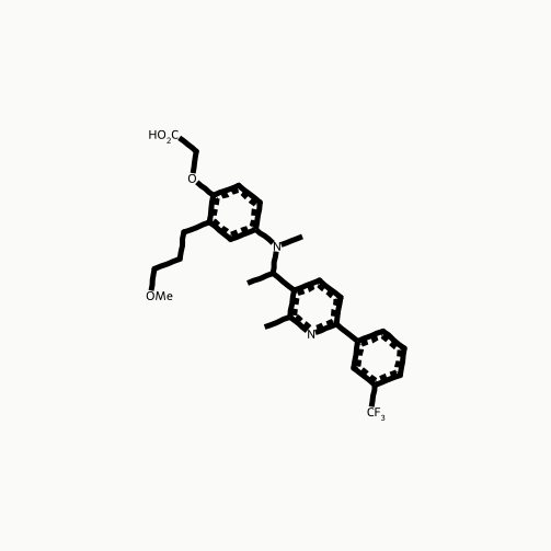 COCCCc1cc(N(C)C(C)c2ccc(-c3cccc(C(F)(F)F)c3)nc2C)ccc1OCC(=O)O